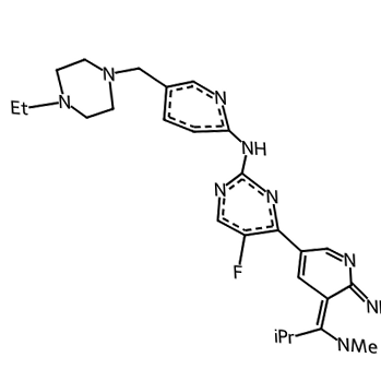 CCN1CCN(Cc2ccc(Nc3ncc(F)c(C4=C/C(=C(/NC)C(C)C)C(=N)N=C4)n3)nc2)CC1